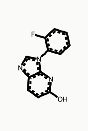 Oc1ccc2ncn(-c3ccccc3F)c2n1